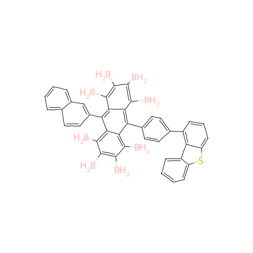 Bc1c(B)c(B)c2c(-c3ccc4ccccc4c3)c3c(B)c(B)c(B)c(B)c3c(-c3ccc(-c4cccc5sc6ccccc6c45)cc3)c2c1B